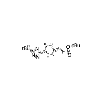 CC(C)(C)OC(=O)C=Cc1ccc(-c2nnn(C(C)(C)C)n2)cc1